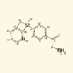 BCC(=C)c1ccc(S2(C)Cc3cccnc32)cc1